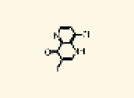 O=c1c(I)c[nH]c2c(Cl)ccnc12